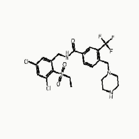 CCS(=O)(=O)c1c(Cl)cc(Cl)cc1CNC(=O)c1ccc(CN2CCNCC2)c(C(F)(F)F)c1